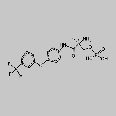 C[C@](N)(COP(=O)(O)O)C(=O)Nc1ccc(Oc2cccc(C(F)(F)F)c2)cc1